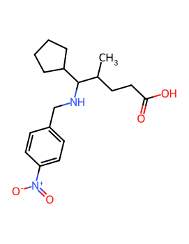 CC(CCC(=O)O)C(NCc1ccc([N+](=O)[O-])cc1)C1CCCC1